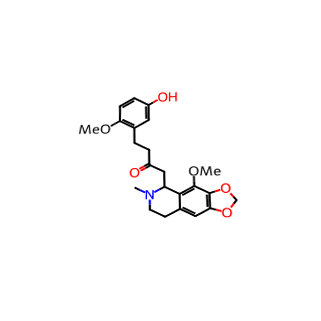 COc1ccc(O)cc1CCC(=O)CC1c2c(cc3c(c2OC)OCO3)CCN1C